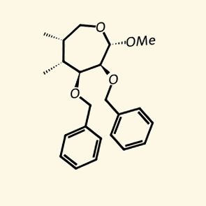 CO[C@H]1OC[C@@H](C)[C@@H](C)[C@H](OCc2ccccc2)[C@@H]1OCc1ccccc1